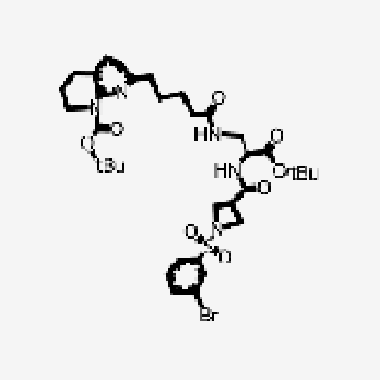 CC(C)(C)OC(=O)[C@H](CNC(=O)CCCCc1ccc2c(n1)N(C(=O)OC(C)(C)C)CCC2)NC(=O)C1CN(S(=O)(=O)c2cccc(Br)c2)C1